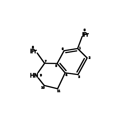 CC(C)c1ccc2c(c1)C(C(C)C)NCC2